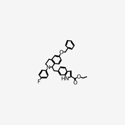 CCOC(=O)c1cc2ccc(CC3c4ccc(OCc5ccccc5)cc4CCN3c3ccc(F)cc3)cc2[nH]1